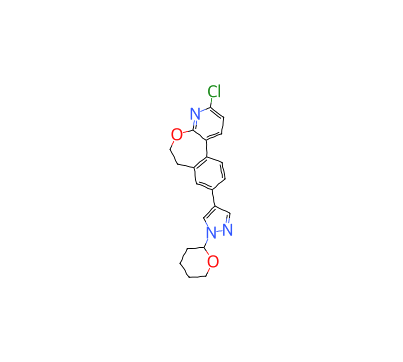 Clc1ccc2c(n1)OCCc1cc(-c3cnn(C4CCCCO4)c3)ccc1-2